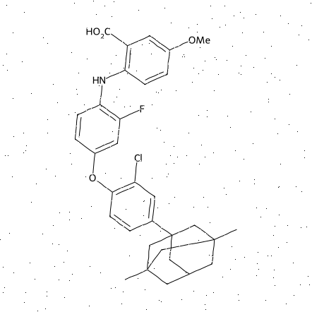 COc1ccc(Nc2ccc(Oc3ccc(C45CC6CC(C)(CC(C)(C6)C4)C5)cc3Cl)cc2F)c(C(=O)O)c1